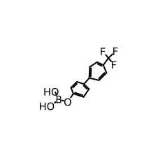 OB(O)Oc1ccc(-c2ccc(C(F)(F)F)cc2)cc1